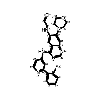 C=CCNc1cc2c(Nc3ccnc(-c4ccccc4F)c3)ncnc2cc1N1CCOCC1